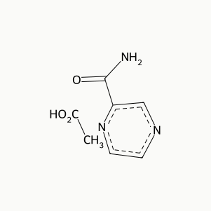 CC(=O)O.NC(=O)c1cnccn1